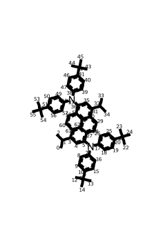 CC(C)c1cc(N(c2ccc(C(C)(C)C)cc2)c2ccc(C(C)(C)C)cc2)c2ccc3c(C(C)C)cc(N(c4ccc(C(C)(C)C)cc4)c4ccc(C(C)(C)C)cc4)c4ccc1c2c34